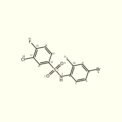 O=S(=O)(Nc1ccc(Br)cc1I)c1ccc(F)c(Cl)c1